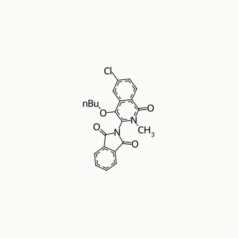 CCCCOc1c(N2C(=O)c3ccccc3C2=O)n(C)c(=O)c2ccc(Cl)cc12